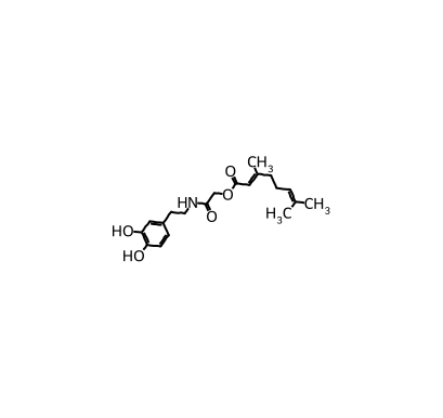 CC(C)=CCC/C(C)=C/C(=O)OCC(=O)NCCc1ccc(O)c(O)c1